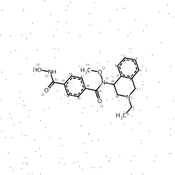 CCN1Cc2ccccc2C(N(OC)C(=O)c2ccc(C(=O)NO)cc2)C1